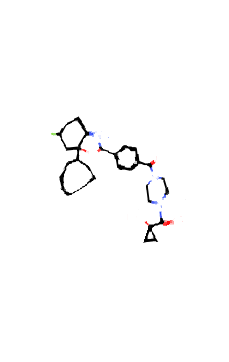 C[C@@H]1CN(C(=O)c2ccc(C3NC4CCC(F)CC4(C4CCCCCCC4)O3)cc2)C[C@H](C)N1C(=O)C1(O)CC1